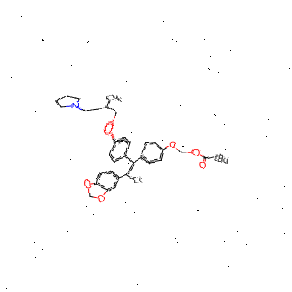 CC/C(=C(\c1ccc(OCOC(=O)C(C)(C)C)cc1)c1ccc(OCC(CN2CCCC2)OC(C)=O)cc1)c1ccc2c(c1)OCO2